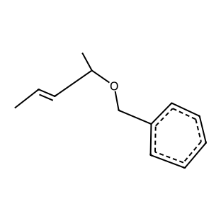 CC=CC(C)OCc1ccccc1